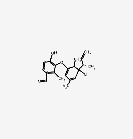 C=C[C@H](C)C1(Cl)C=C(C)C=C(Oc2c(O)ccc(C=O)c2C)C1C